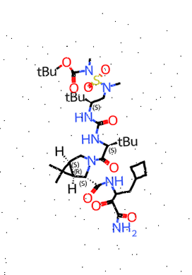 CN(C[C@@H](NC(=O)N[C@H](C(=O)N1C[C@H]2[C@@H]([C@H]1C(=O)NC(CC1CCC1)C(=O)C(N)=O)C2(C)C)C(C)(C)C)C(C)(C)C)S(=O)(=O)N(C)C(=O)OC(C)(C)C